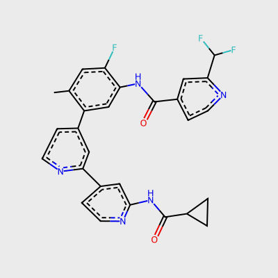 Cc1cc(F)c(NC(=O)c2ccnc(C(F)F)c2)cc1-c1ccnc(-c2ccnc(NC(=O)C3CC3)c2)c1